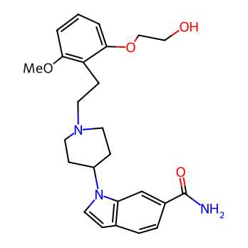 COc1cccc(OCCO)c1CCN1CCC(n2ccc3ccc(C(N)=O)cc32)CC1